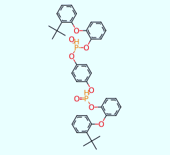 CC(C)(C)c1ccccc1Oc1ccccc1O[PH](=O)Oc1ccc(O[PH](=O)Oc2ccccc2Oc2ccccc2C(C)(C)C)cc1